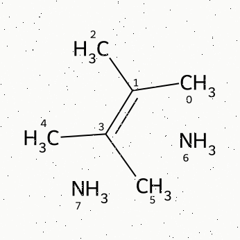 CC(C)=C(C)C.N.N